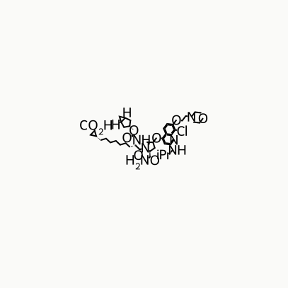 CC(C)Nc1cc(OC2C[C@@H](C(N)=O)N(C(=O)[C@H](CCCCCCC[C@@H]3C[C@@H]3C(=O)O)NC(=O)O[C@@H]3C[C@@H]4C[C@@H]4C3)C2)c2ccc(OCCN3CCOCC3)c(Cl)c2n1